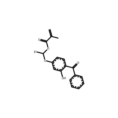 C=C(C)C(=O)OC(CC)Oc1ccc(C(=O)c2ccccc2)c(O)c1